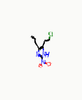 C=CCc1nc([N+](=O)[O-])[nH]c1CCCl